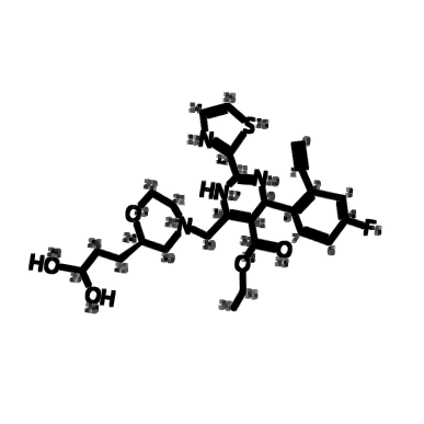 C#Cc1cc(F)ccc1C1N=C(c2nccs2)NC(CN2CCO[C@H](CCC(O)O)C2)=C1C(=O)OCC